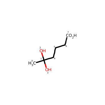 CC(O)(O)CCCC(=O)O